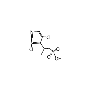 CC(CS(=O)(=O)O)c1c(Cl)cncc1Cl